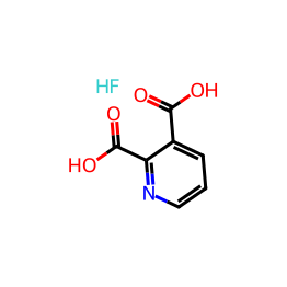 F.O=C(O)c1cccnc1C(=O)O